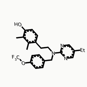 CCc1cnc(N(CCc2ccc(O)c(C)c2C)Cc2ccc(OC(F)(F)F)cc2)nc1